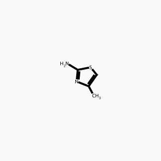 Cc1[c]sc(N)n1